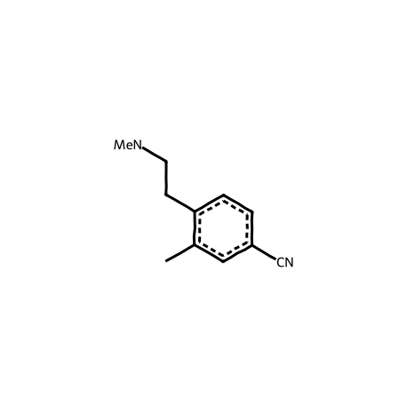 CNCCc1ccc(C#N)cc1C